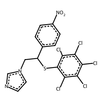 O=[N+]([O-])c1ccc(C(Cn2ccnc2)Sc2c(Cl)c(Cl)c(Cl)c(Cl)c2Cl)cc1